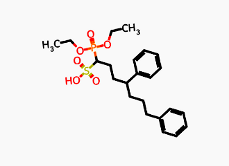 CCOP(=O)(OCC)C(CCC(CCCc1ccccc1)c1ccccc1)S(=O)(=O)O